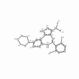 Fc1cccc(F)c1C1=Nc2c(C(F)F)n[nH]c2-c2cc(N3CCOCC3)ncc2N1